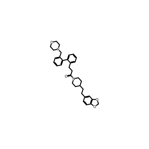 O=C(CCc1ccccc1-c1ccccc1CN1CCOCC1)N1CCC(CCc2ccc3c(c2)OCO3)CC1